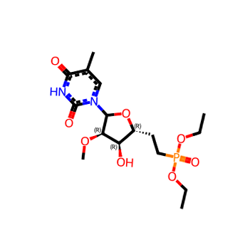 CCOP(=O)(CC[C@H]1OC(n2cc(C)c(=O)[nH]c2=O)[C@H](OC)[C@@H]1O)OCC